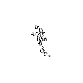 CN1C(=O)[C@H](NC(=O)n2cc(Cc3cccc(C(F)(F)F)n3)cn2)COc2ccc(Br)cc21